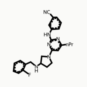 CCCc1cc(N2CCC(NCc3ccccc3F)C2)nc(Nc2cccc(C#N)c2)n1